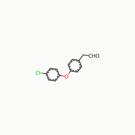 O=CCc1ccc(Oc2ccc(Cl)cc2)cc1